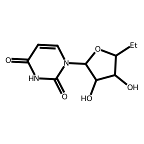 CCC1OC(n2ccc(=O)[nH]c2=O)C(O)C1O